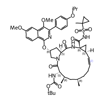 COc1ccc2c(O[C@@H]3C[C@H]4C(=O)N[C@]5(C(=O)NS(=O)(=O)C6(C)CC6)C[C@H]5/C=C\CC[C@@H](C)C[C@@H](C)[C@H](NC(=O)OC(C)(C)C)C(=O)N4C3)nc(-c3ccc(OC(C)C)cc3)c(OC)c2c1